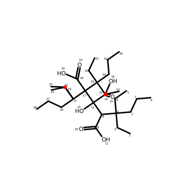 CCCC(CC)(CC)C(C(=O)O)C(O)(C(=O)O)C(C(=O)O)(C(CC)(CC)CCC)C(CC)(CC)CCC